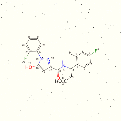 Cc1cc(F)ccc1C(CC(=O)O)NC(=O)c1cc(O)n(-c2ccccc2F)n1